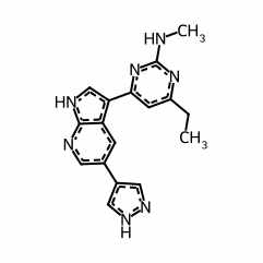 CCc1cc(-c2c[nH]c3ncc(-c4cn[nH]c4)cc23)nc(NC)n1